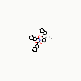 Cc1ccc2c(c1C(=O)c1cccc3ccccc13)N(C(=O)c1ccc3ccccc3c1)C(C(=O)c1ccc3ccccc3c1)O2